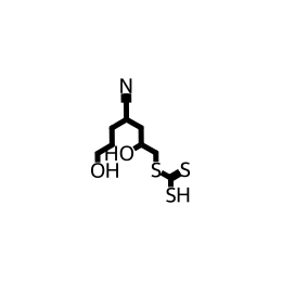 N#CC(CCCO)CC(O)CSC(=S)S